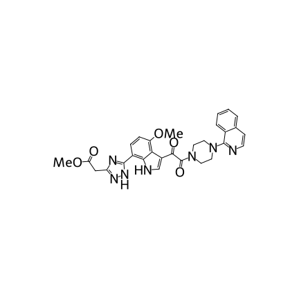 COC(=O)Cc1n[nH]c(-c2ccc(OC)c3c(C(=O)C(=O)N4CCN(c5nccc6ccccc56)CC4)c[nH]c23)n1